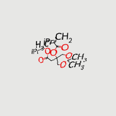 C=C(C)C(=O)OC1(CC(=O)OC(C(C)C)C(C)C)COC(C)(C)OC1